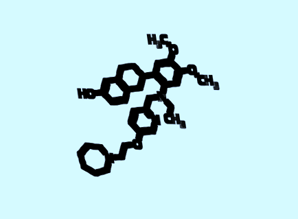 CCN(Cc1ccc(OCCN2CCCCCC2)cn1)c1cc(OC)c(OC)cc1C1CCc2cc(O)ccc2C1